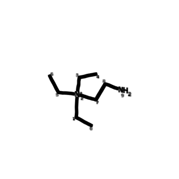 CC[N+](CC)(CC)CCN